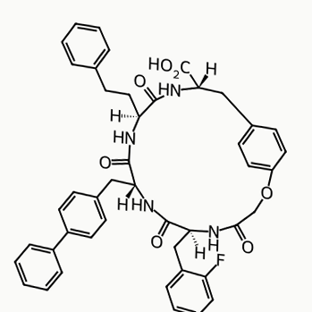 O=C1COc2ccc(cc2)C[C@@H](C(=O)O)NC(=O)[C@H](CCc2ccccc2)NC(=O)[C@@H](Cc2ccc(-c3ccccc3)cc2)NC(=O)[C@H](Cc2ccccc2F)N1